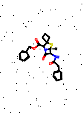 O=C(Cc1ccccc1)NC1C(=O)N2C(C(=O)OCc3ccccc3)C3(CCC3)S[C@@H]12